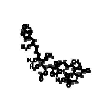 CO[C@@H](/C(C)=C/C=C/C(C)=C/c1coc(C)n1)[C@@H](C)[C@H](C[C@H](O)[C@]1(C)OC1/C=C/C(C)C1C[C@@H](C[C@H]2O[C@]2(C)O)CC(=O)O1)OC=O